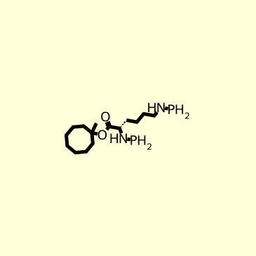 CC1(OC(=O)[C@H](CCCCNP)NP)CCCCCCC1